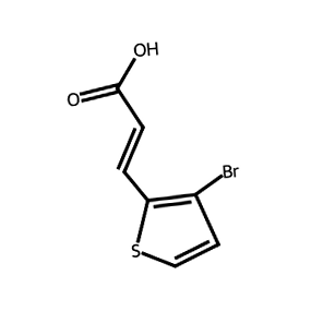 O=C(O)/C=C/c1sccc1Br